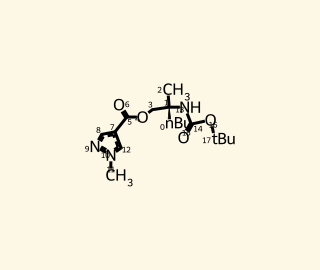 CCCC[C@](C)(COC(=O)c1cnn(C)c1)NC(=O)OC(C)(C)C